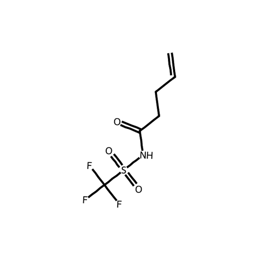 C=CCCC(=O)NS(=O)(=O)C(F)(F)F